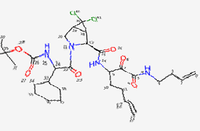 C=CCCNC(=O)C(=O)C(CCC=C)NC(=O)[C@@H]1C2C(CN1C(=O)C(NC(=O)OC(C)(C)C)C1CCCCC1)C2(Cl)Cl